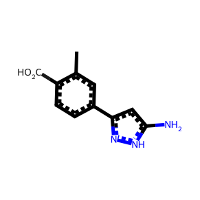 Cc1cc(-c2cc(N)[nH]n2)ccc1C(=O)O